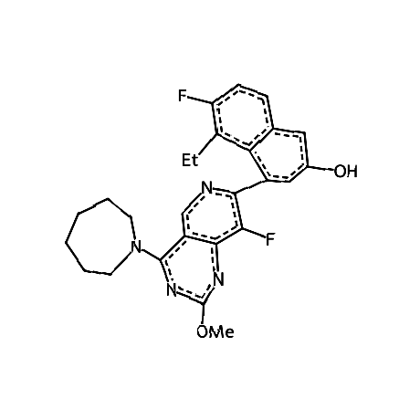 CCc1c(F)ccc2cc(O)cc(-c3ncc4c(N5CCCCCC5)nc(OC)nc4c3F)c12